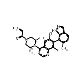 C=CC(=O)N1C[C@@H](C)N(c2ncnc3c(F)c(-c4c(C)ccc5cn[nH]c45)c(Cl)cc23)[C@@H](C)C1